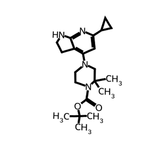 CC(C)(C)OC(=O)N1CCN(c2cc(C3CC3)nc3c2CCN3)CC1(C)C